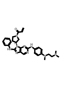 C=CC(=O)N1CC[C@H](n2c(Nc3ccccc3)nc3cnc(Nc4ccc(N(C)CCN(C)C)cc4)nc32)C1